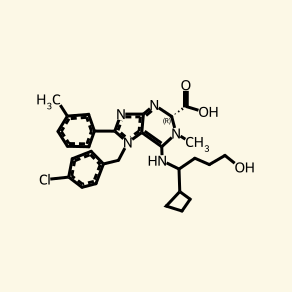 Cc1cccc(-c2nc3c(n2Cc2ccc(Cl)cc2)=C(NC(CCCO)C2CCC2)N(C)[C@@H](C(=O)O)N=3)c1